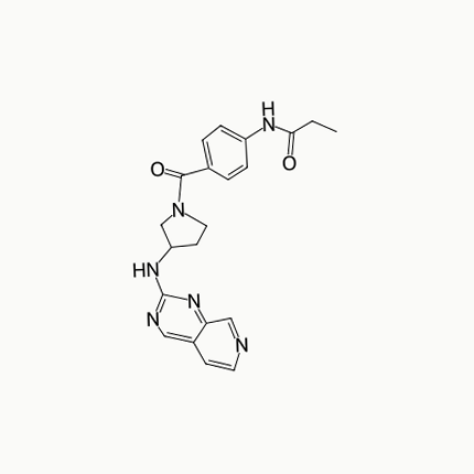 CCC(=O)Nc1ccc(C(=O)N2CCC(Nc3ncc4ccncc4n3)C2)cc1